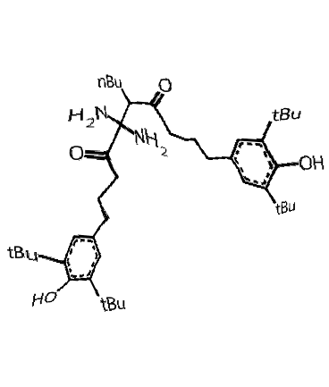 CCCCC(C(=O)CCCc1cc(C(C)(C)C)c(O)c(C(C)(C)C)c1)C(N)(N)C(=O)CCCc1cc(C(C)(C)C)c(O)c(C(C)(C)C)c1